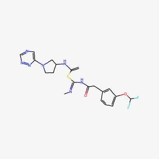 C=C(NC1CCN(c2cncnn2)C1)S/C(=N\C)NC(=O)Cc1cccc(OC(F)F)c1